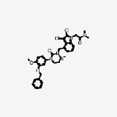 COc1ccc(N2CC[C@H](C)N(Cc3cccc4c3c(Cl)c(Cl)n4CC(=O)N(C)C)C2=O)cc1OCc1ccccc1